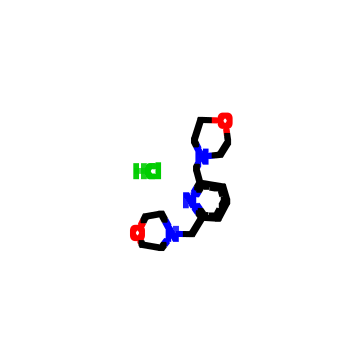 Cl.c1cc(CN2CCOCC2)nc(CN2CCOCC2)c1